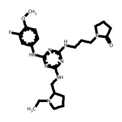 CCN1CCCC1CNc1nc(NCCCN2CCCC2=O)nc(Nc2ccc(OC)c(F)c2)n1